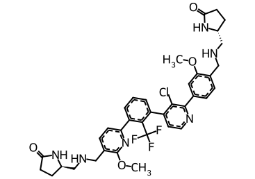 COc1cc(-c2nccc(-c3cccc(-c4ccc(CNC[C@H]5CCC(=O)N5)c(OC)n4)c3C(F)(F)F)c2Cl)ccc1CNC[C@H]1CCC(=O)N1